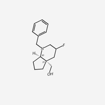 OC[C@]12CCC[C@H]1N(Cc1ccccc1)CC(F)C2